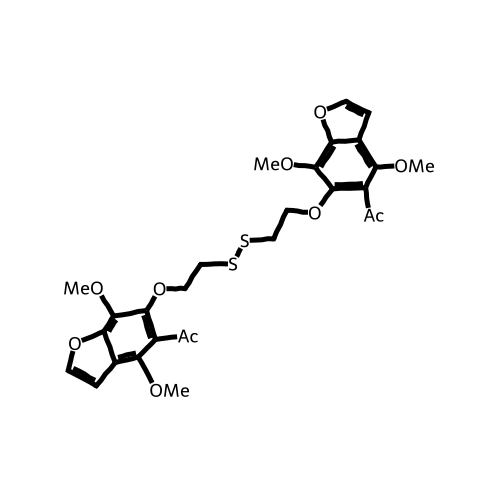 COc1c(C(C)=O)c(OCCSSCCOc2c(C(C)=O)c(OC)c3ccoc3c2OC)c(OC)c2occc12